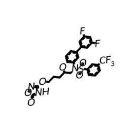 O=c1[nH]c(OCCCC2CN(S(=O)(=O)c3cccc(C(F)(F)F)c3)c3cc(-c4cc(F)cc(F)c4)ccc3O2)no1